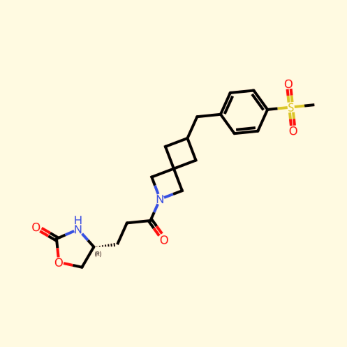 CS(=O)(=O)c1ccc(CC2CC3(C2)CN(C(=O)CC[C@@H]2COC(=O)N2)C3)cc1